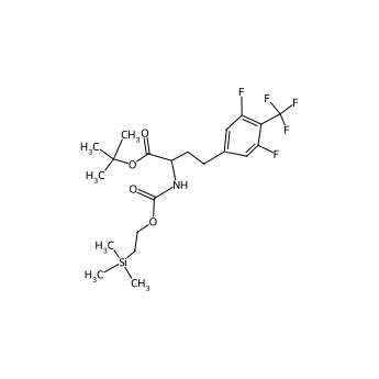 CC(C)(C)OC(=O)C(CCc1cc(F)c(C(F)(F)F)c(F)c1)NC(=O)OCC[Si](C)(C)C